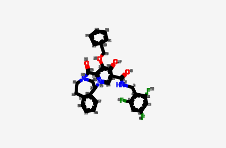 O=C(NCc1c(F)cc(F)cc1F)c1cn2c(c(OCc3ccccc3)c1=O)C(=O)N1CCc3ccccc3C2C1